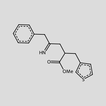 COC(=O)C(CC(=N)Cc1ccccc1)Cc1ccsc1